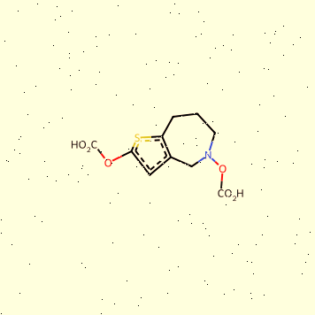 O=C(O)Oc1cc2c(s1)CCCN(OC(=O)O)C2